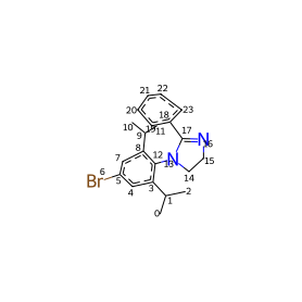 CC(C)c1cc(Br)cc(C(C)C)c1N1CCN=C1c1ccccc1